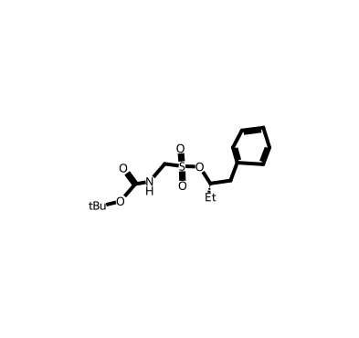 CC[C@@H](Cc1ccccc1)OS(=O)(=O)CNC(=O)OC(C)(C)C